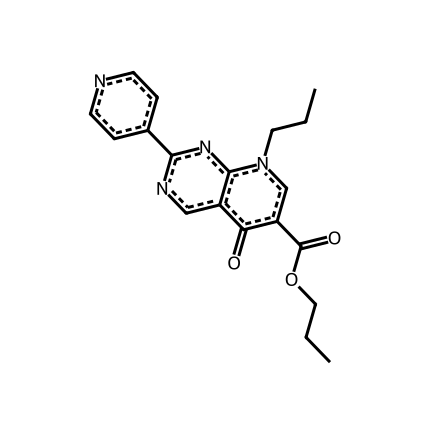 CCCOC(=O)c1cn(CCC)c2nc(-c3ccncc3)ncc2c1=O